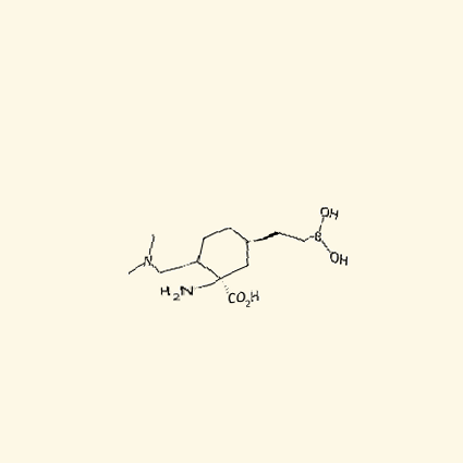 CN(C)CC1CC[C@@H](CCB(O)O)C[C@]1(N)C(=O)O